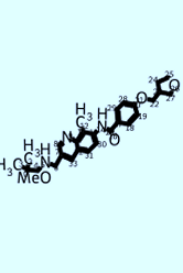 COC(C)(C)CNCc1cnc2c(C)c(NC(=O)c3ccc(OCC4CCOC4)cc3)ccc2c1